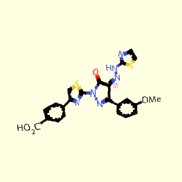 COc1cccc(C2=NN(c3nc(-c4ccc(C(=O)O)cc4)cs3)C(=O)/C2=N\Nc2nccs2)c1